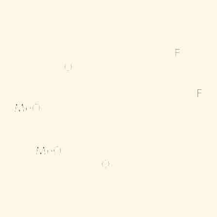 COC(=O)C(C(=O)OC)C1CCC(F)(F)CC1